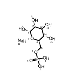 O=P(O)(O)OC[C@H]1O[C@H](O)[C@H](O)[C@@H](O)[C@@H]1O.[NaH]